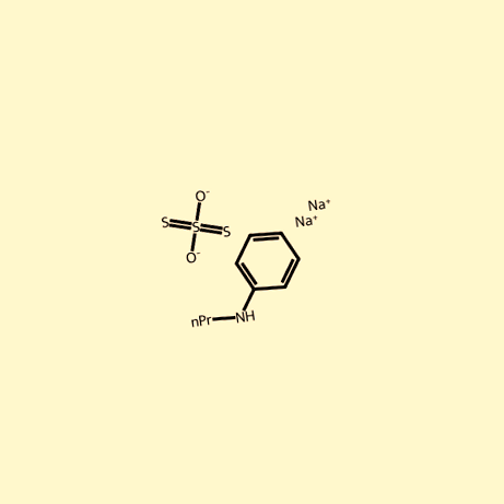 CCCNc1ccccc1.[Na+].[Na+].[O-]S([O-])(=S)=S